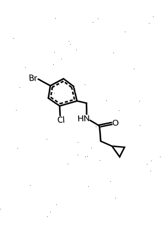 O=C(CC1CC1)NCc1ccc(Br)cc1Cl